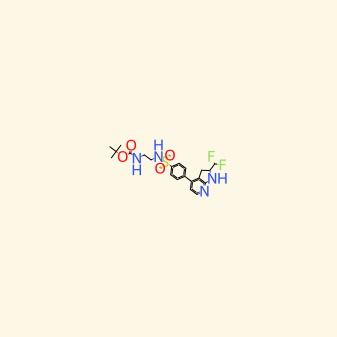 CC(C)(C)OC(=O)NCCNS(=O)(=O)c1ccc(-c2ccnc3c2CC(C(F)F)N3)cc1